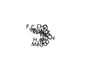 COC(=O)N(C)NC(=O)C1=C(NC(=O)c2cc(Cn3cnc(C(F)(F)F)n3)nn2-c2ncccc2Cl)C(C)=CC(I)C1